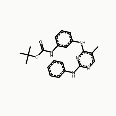 Cc1cnc(Nc2ccccc2)nc1Nc1cccc(NC(=O)OC(C)(C)C)c1